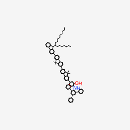 CCCCCCCCCC(CCCCCCC)C1c2ccccc2-c2ccc(-c3ccc4c(c3)C(C)(C)c3cc(-c5ccc6c(c5)C(C)(C)c5cc(-c7ccc(Nc8c(-c9ccccc9)cc(-c9ccccc9)cc8-c8ccccc8)c(O)c7)ccc5-6)ccc3-4)cc21